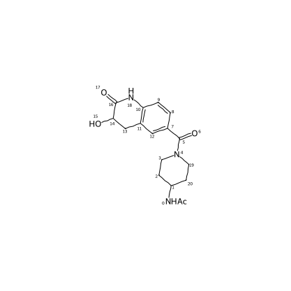 CC(=O)NC1CCN(C(=O)c2ccc3c(c2)CC(O)C(=O)N3)CC1